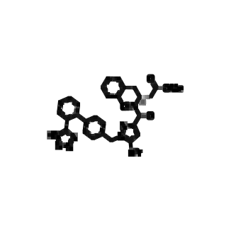 CCCc1cc(C(=O)N[C@@H](CC(=O)OC)Cc2ccccc2Cl)nn1Cc1ccc(-c2ccccc2-c2nnn[nH]2)cc1